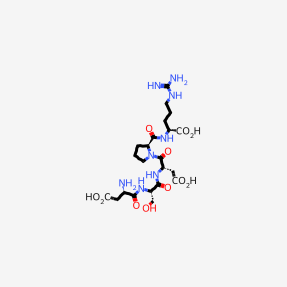 N=C(N)NCCC[C@H](NC(=O)[C@@H]1CCCN1C(=O)[C@H](CC(=O)O)NC(=O)[C@H](CO)NC(=O)[C@@H](N)CC(=O)O)C(=O)O